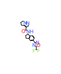 O=C(NC1CCc2cc(-c3noc(C(F)F)n3)ccc21)c1cnn2c1CCC2